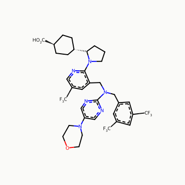 O=C(O)[C@H]1CC[C@H](C2CCCN2c2ncc(C(F)(F)F)cc2CN(Cc2cc(C(F)(F)F)cc(C(F)(F)F)c2)c2ncc(N3CCOCC3)cn2)CC1